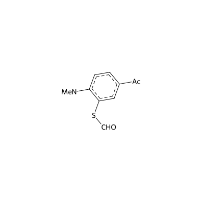 CNc1ccc(C(C)=O)cc1SC=O